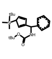 CC(C)(C)OC(=O)NC(C1=CC([Si](C)(C)C(C)(C)C)C=C1)c1ccccc1